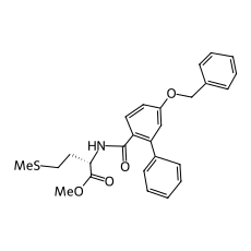 COC(=O)[C@H](CCSC)NC(=O)c1ccc(OCc2ccccc2)cc1-c1ccccc1